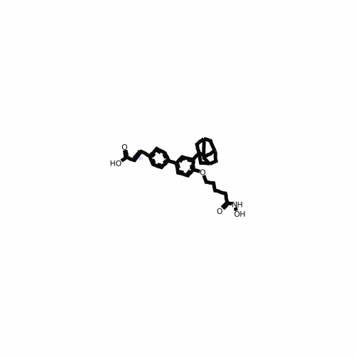 O=C(O)/C=C/c1ccc(-c2ccc(OCCCCC(=O)NO)c(C34CC5CC(CC(C5)C3)C4)c2)cc1